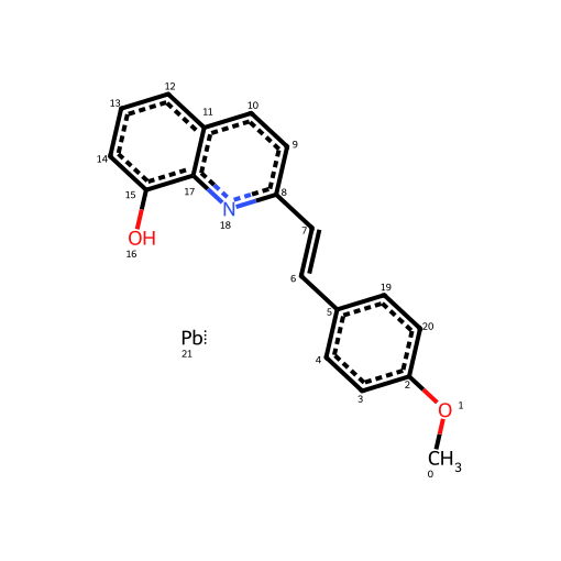 COc1ccc(C=Cc2ccc3cccc(O)c3n2)cc1.[Pb]